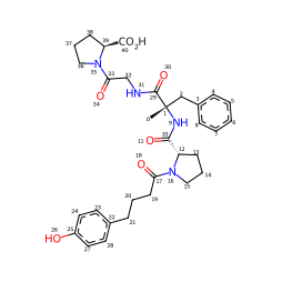 C[C@@](Cc1ccccc1)(NC(=O)[C@@H]1CCCN1C(=O)CCCc1ccc(O)cc1)C(=O)NCC(=O)N1CCC[C@H]1C(=O)O